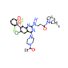 CCC(=O)N1CCN(c2nc(NCCC(=O)N(C)C)nc3c(F)c(-c4c(O)cccc4F)c(Cl)cc23)CC1